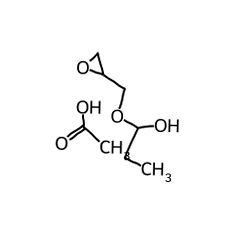 CC(=O)O.CCC(O)OCC1CO1